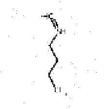 [CH]=[SH]CCCC